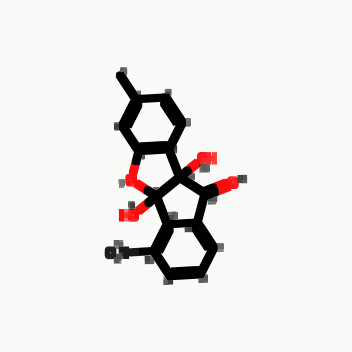 Cc1ccc2c(c1)OC1(O)c3c(cccc3[N+](=O)[O-])C(=O)C21O